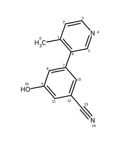 Cc1ccncc1-c1cc(O)cc(C#N)c1